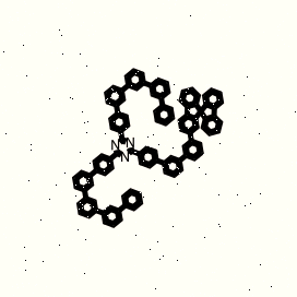 c1ccc(-c2cccc(-c3cccc(-c4cccc(-c5ccc(-c6nc(-c7ccc(-c8cccc(-c9cccc(-c%10cccc(-c%11ccccc%11)c%10)c9)c8)cc7)nc(-c7ccc(-c8cccc(-c9cccc(-c%10ccc%11c(c%10)C%10(c%12ccccc%12-c%12ccccc%12%10)c%10ccccc%10-%11)c9)c8)cc7)n6)cc5)c4)c3)c2)cc1